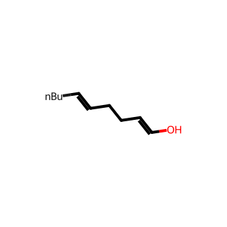 CCCCC=CCCC=CO